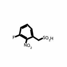 O=[N+]([O-])c1c(F)cccc1CS(=O)(=O)O